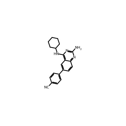 N#Cc1ccc(-c2ccc3nc(N)nc(NC4CCCCC4)c3c2)cc1